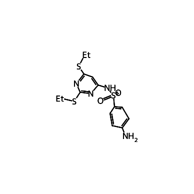 CCSc1cc(NS(=O)(=O)c2ccc(N)cc2)nc(SCC)n1